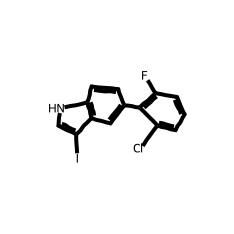 Fc1cccc(Cl)c1-c1ccc2[nH]cc(I)c2c1